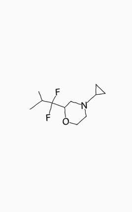 CC(C)C(F)(F)C1CN(C2CC2)CCO1